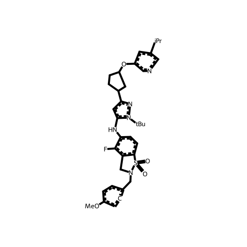 COc1ccc(CN2Cc3c(ccc(Nc4cc(C5CCC(Oc6cncc(C(C)C)c6)C5)nn4C(C)(C)C)c3F)S2(=O)=O)cc1